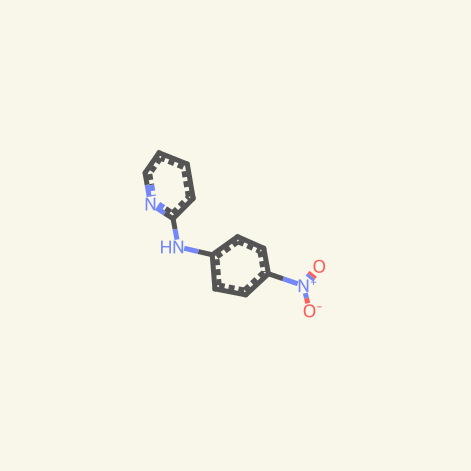 O=[N+]([O-])c1ccc(Nc2ccccn2)cc1